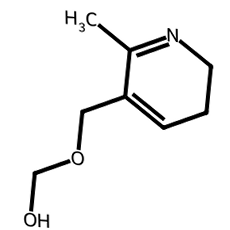 CC1=NCCC=C1COCO